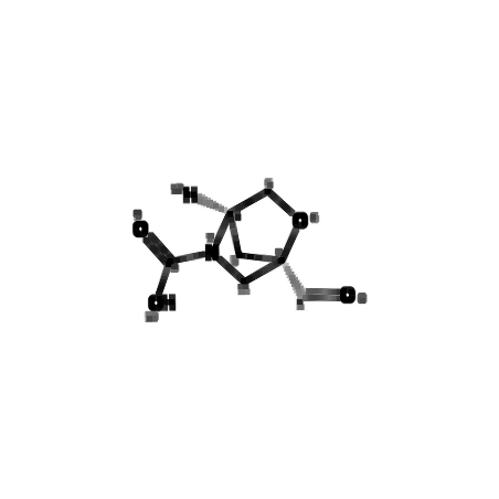 O=C[C@]12C[C@H](CO1)N(C(=O)O)C2